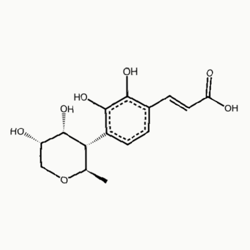 C[C@H]1OC[C@H](O)[C@H](O)[C@@H]1c1ccc(/C=C/C(=O)O)c(O)c1O